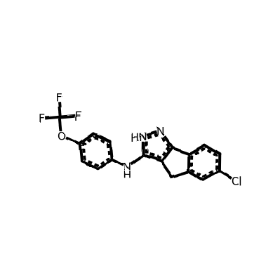 FC(F)(F)Oc1ccc(Nc2[nH]nc3c2Cc2cc(Cl)ccc2-3)cc1